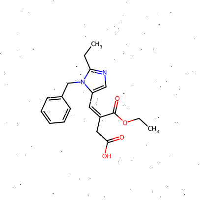 CCOC(=O)C(=Cc1cnc(CC)n1Cc1ccccc1)CC(=O)O